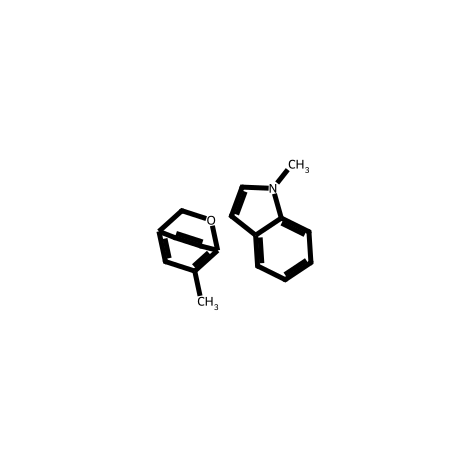 Cc1cc2ccc1OC2.Cn1ccc2ccccc21